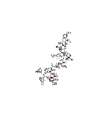 CC[C@H](C)[C@H](NC(=O)[C@H](Cc1ccc(O)cc1)NC(=O)[C@H](CC(N)=O)NC(=O)[C@@H](NC(=O)[C@H](C)NC(=O)CNC(=O)[C@H](CC(C)C)NC(=O)[C@H](Cc1ccc(O)cc1)NC(=O)[C@@H](NC(=O)[C@H](Cc1cnc[nH]1)NC(=O)[C@@H](N)Cc1cnc[nH]1)[C@@H](C)CC)C(C)C)C(=O)N[C@@H](Cc1ccc(O)cc1)C(N)=O